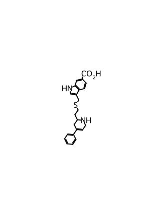 O=C(O)c1ccc2c(CSCCC3CC(c4ccccc4)=CCN3)c[nH]c2c1